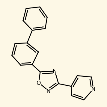 c1ccc(-c2cccc(-c3nc(-c4ccncc4)no3)c2)cc1